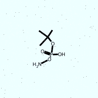 CC(C)(C)OP(=O)(O)ON